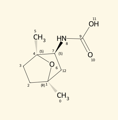 C[C@]12CC[C@](C)(O1)[C@@H](NC(=O)O)C2